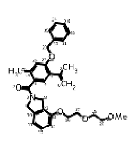 C=C(C)c1cc(C(=O)N2Cc3cccc(OCCOCCOC)c3C2)c(C)cc1OCc1ccccc1